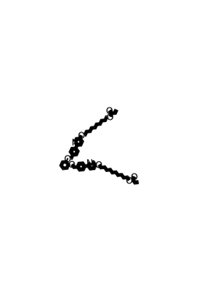 C=CC(=O)OCCCCCCCCCCOc1ccc(-c2ccc(CO[C@@H]3CCCC[C@H]3OCc3ccc(-c4ccc(OCCCCCCCCCCOC(=O)C=C)cn4)cc3)cc2)nc1